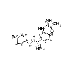 CC1=C(N)Nc2cc(CNCc3ccc(F)cc3)ccc2O1.Cl.Cl